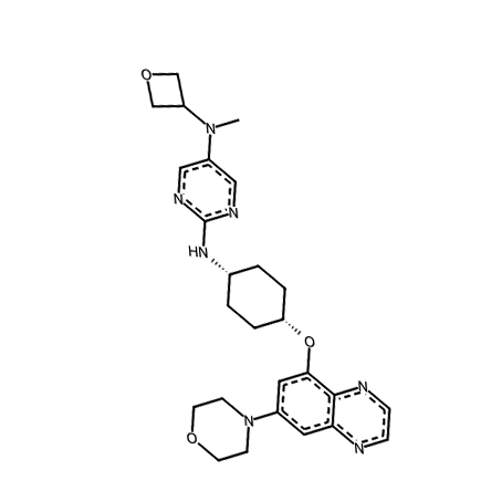 CN(c1cnc(N[C@H]2CC[C@@H](Oc3cc(N4CCOCC4)cc4nccnc34)CC2)nc1)C1COC1